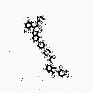 O=C1CCC(N2Cc3c(SCC(=O)N4CCN(C5CCN(c6ccc7c(c6)C(=O)N(C(C(=O)Nc6nccs6)c6cc(F)ccc6O)C7)CC5)CC4)cccc3C2=O)C(=O)N1